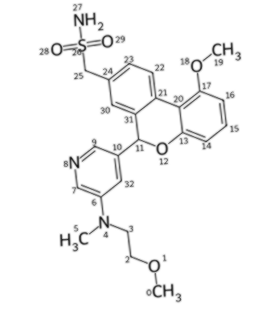 COCCN(C)c1cncc(C2Oc3cccc(OC)c3-c3ccc(CS(N)(=O)=O)cc32)c1